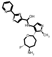 Cn1ncc(NC(O)c2csc(-c3ccccn3)n2)c1[C@@H]1CC[C@@H](N)[C@H](F)CO1